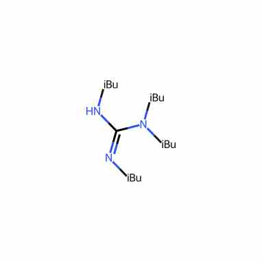 CCC(C)N=C(NC(C)CC)N(C(C)CC)C(C)CC